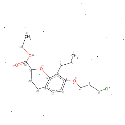 CCCc1c(OCCCCl)ccc2c1OC(C(=O)OCC)CC2